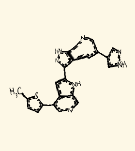 Cc1ccc(-c2cncc3[nH]c(-c4n[nH]c5ncc(-c6cn[nH]c6)cc45)cc23)s1